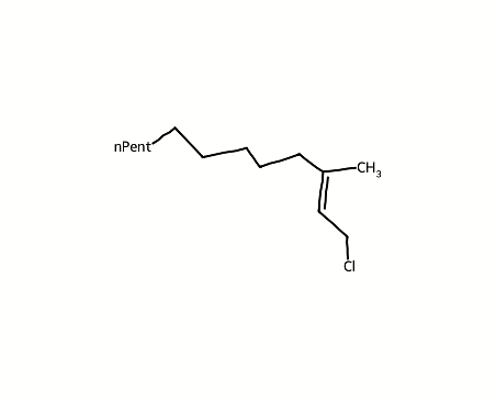 CCCCCCCCCCC(C)=CCCl